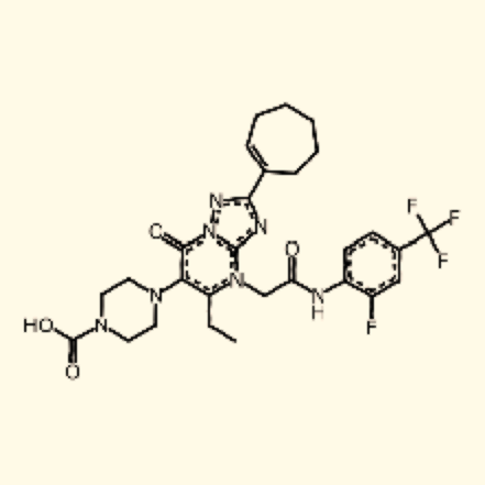 CCc1c(N2CCN(C(=O)O)CC2)c(=O)n2nc(C3=CCCCCC3)nc2n1CC(=O)Nc1ccc(C(F)(F)F)cc1F